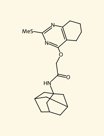 CSc1nc2c(c(OCC(=O)NC34CC5CC(CC(C5)C3)C4)n1)CCCC2